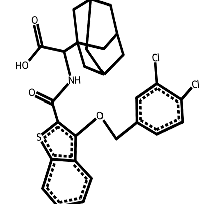 O=C(NC(C(=O)O)C12CC3CC(CC(C3)C1)C2)c1sc2ccccc2c1OCc1ccc(Cl)c(Cl)c1